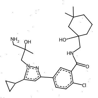 CC1(C)CCCC(O)(CNC(=O)c2cc(-c3cc(C4CC4)n(CC(C)(O)CN)n3)ccc2Cl)C1